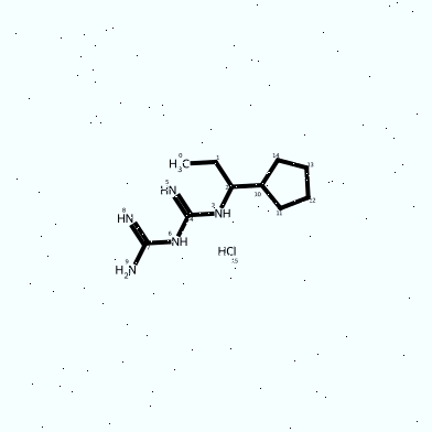 CCC(NC(=N)NC(=N)N)C1CCCC1.Cl